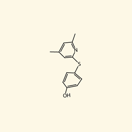 Cc1cc(C)nc(Sc2ccc(O)cc2)c1